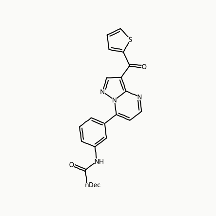 CCCCCCCCCCC(=O)Nc1cccc(-c2ccnc3c(C(=O)c4cccs4)cnn23)c1